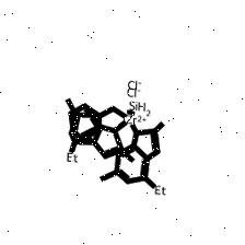 CCc1cc(C)cc2c1C=C(C)[CH]2[Zr+2](=[SiH2])([CH2]c1ccccc1)[CH]1C(C)=Cc2c(CC)cc(C)cc21.[Cl-].[Cl-]